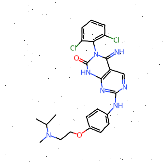 CC(C)N(C)CCOc1ccc(Nc2ncc3c(=N)n(-c4c(Cl)cccc4Cl)c(=O)[nH]c3n2)cc1